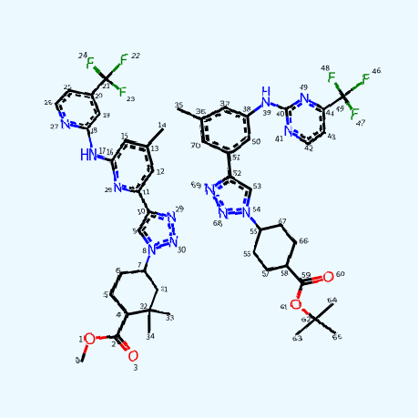 COC(=O)C1CCC(n2cc(-c3cc(C)cc(Nc4cc(C(F)(F)F)ccn4)n3)nn2)CC1(C)C.Cc1cc(Nc2nccc(C(F)(F)F)n2)cc(-c2cn(C3CCC(C(=O)OC(C)(C)C)CC3)nn2)c1